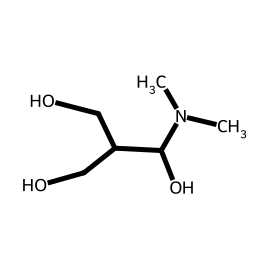 CN(C)C(O)C(CO)CO